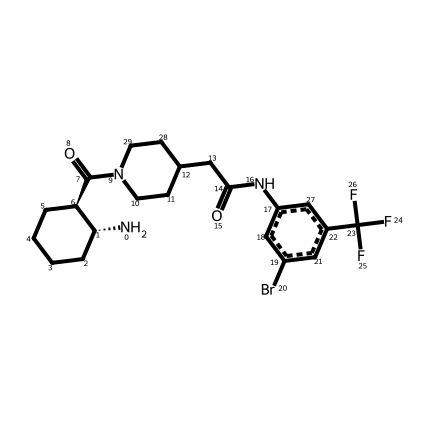 N[C@@H]1CCCC[C@H]1C(=O)N1CCC(CC(=O)Nc2cc(Br)cc(C(F)(F)F)c2)CC1